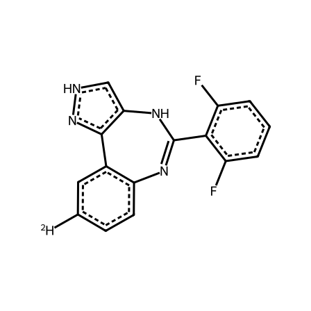 [2H]c1ccc2c(c1)-c1n[nH]cc1NC(c1c(F)cccc1F)=N2